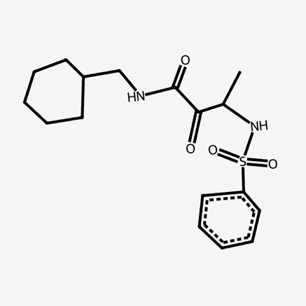 CC(NS(=O)(=O)c1ccccc1)C(=O)C(=O)NCC1CCCCC1